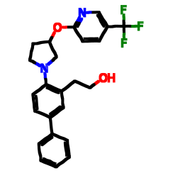 OCCc1cc(-c2ccccc2)ccc1N1CCC(Oc2ccc(C(F)(F)F)cn2)C1